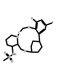 CS(=O)(=O)NC1CCCN2CCOc3c(F)cc(F)cc3C3CCC(CC3)OCC12